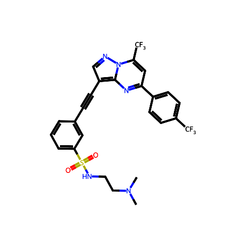 CN(C)CCNS(=O)(=O)c1cccc(C#Cc2cnn3c(C(F)(F)F)cc(-c4ccc(C(F)(F)F)cc4)nc23)c1